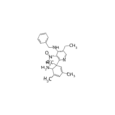 CCc1cnc(C2(C)C=C(C)C=C(C)C2N)c([N+](=O)[O-])c1NCc1ccccc1